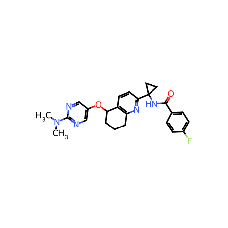 CN(C)c1ncc(OC2CCCc3nc(C4(NC(=O)c5ccc(F)cc5)CC4)ccc32)cn1